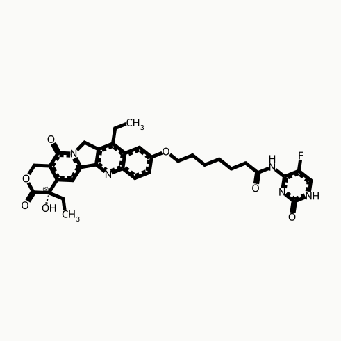 CCc1c2c(nc3ccc(OCCCCCCC(=O)Nc4nc(=O)[nH]cc4F)cc13)-c1cc3c(c(=O)n1C2)COC(=O)[C@]3(O)CC